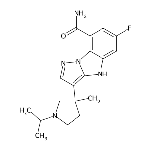 CC(C)N1CCC(C)(c2cnn3c2[nH]c2cc(F)cc(C(N)=O)c23)C1